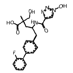 CC(CO)(CC(Cc1ccc(-c2ccccc2F)cc1)NC(=O)c1cn(O)nn1)C(=O)O